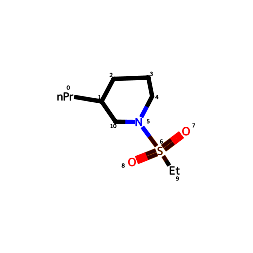 CCCC1CCCN(S(=O)(=O)CC)C1